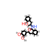 COc1ccc(C=Cc2ccccc2C(=O)NC(CO)Cc2ccccc2)cc1OC